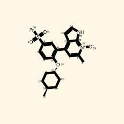 Cc1cc(-c2cc(S(=O)(=O)C(C)C)ccc2O[C@H]2CC[C@H](C)CC2)c2cc[nH]c2[n+]1[O-]